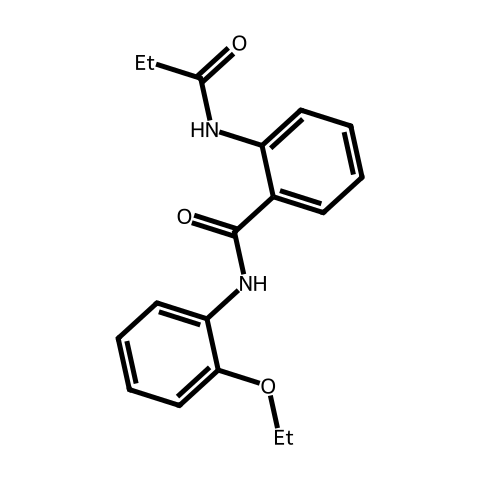 CCOc1ccccc1NC(=O)c1ccccc1NC(=O)CC